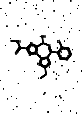 CCc1cc2c(s1)-n1nc(C(=O)NC)nc1C(O)N=C2c1ccccc1Cl